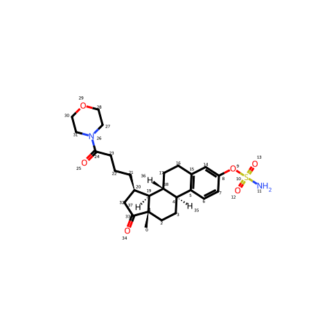 C[C@]12CC[C@@H]3c4ccc(OS(N)(=O)=O)cc4CC[C@H]3[C@@H]1[C@H](CCCC(=O)N1CCOCC1)CC2=O